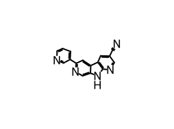 N#Cc1cnc2[nH]c3cnc(-c4cccnc4)cc3c2c1